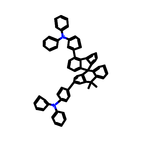 CC1(C)c2ccccc2C2(c3ccccc3-c3c(-c4cccc(N(c5ccccc5)c5ccccc5)c4)cccc32)c2ccc(-c3ccc(N(c4ccccc4)c4ccccc4)cc3)cc21